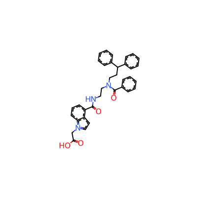 O=C(O)Cn1ccc2c(C(=O)NCCN(CCC(c3ccccc3)c3ccccc3)C(=O)c3ccccc3)cccc21